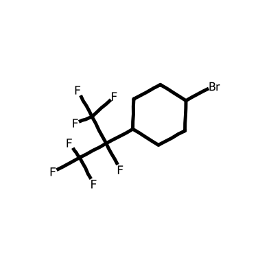 FC(F)(F)C(F)(C1CCC(Br)CC1)C(F)(F)F